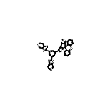 c1ccc2c(c1)Oc1ccccc1C21c2ccccc2-c2cc(-c3cc(-c4nc5ccncc5o4)cc(-c4nc5ccncc5o4)c3)ccc21